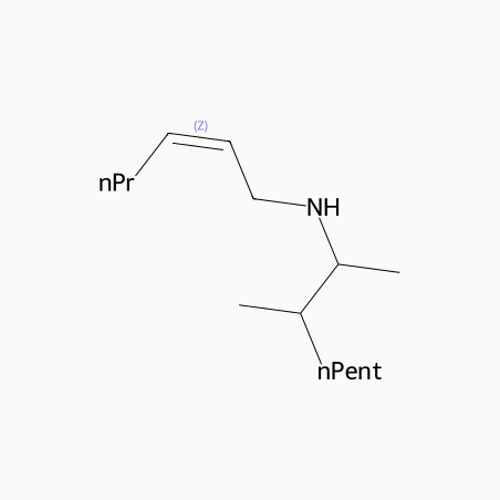 CCC/C=C\CNC(C)C(C)CCCCC